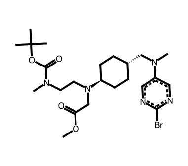 COC(=O)CN(CCN(C)C(=O)OC(C)(C)C)[C@H]1CC[C@H](CN(C)c2cnc(Br)nc2)CC1